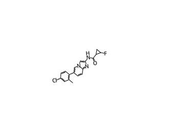 Cc1cc(Cl)ccc1-c1ccc2nc(NC(=O)C3CC3F)cn2c1